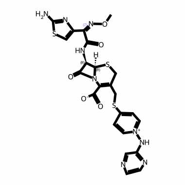 CO/N=C(\C(=O)N[C@@H]1C(=O)N2C(C(=O)[O-])=C(CSc3cc[n+](Nc4cnccn4)cc3)CS[C@H]12)c1csc(N)n1